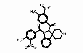 Cc1ccc(C(=O)[C@@H]2N(C(=O)c3ccc(C)c([N+](=O)[O-])c3)c3ccccc3C23CCNCC3)cc1[N+](=O)[O-]